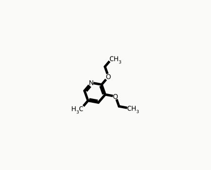 CCOc1cc(C)cnc1OCC